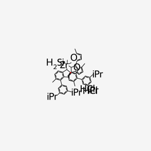 Cc1ccc(C2=Cc3c(ccc(C)c3-c3cc(C(C)C)cc(C(C)C)c3)[CH]2[Zr]([CH3])([CH3])(=[SiH2])[CH]2C(c3ccc(C)o3)=Cc3c2ccc(C)c3-c2cc(C(C)C)cc(C(C)C)c2)o1.Cl.Cl